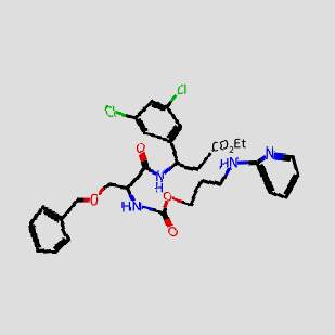 CCOC(=O)CC(NC(=O)C(COCc1ccccc1)NC(=O)OCCCNc1ccccn1)c1cc(Cl)cc(Cl)c1